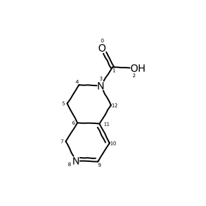 O=C(O)N1CCC2CN=CC=C2C1